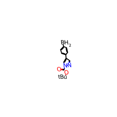 Bc1ccc(-c2cnn(C(=O)OC(C)(C)C)c2)cc1